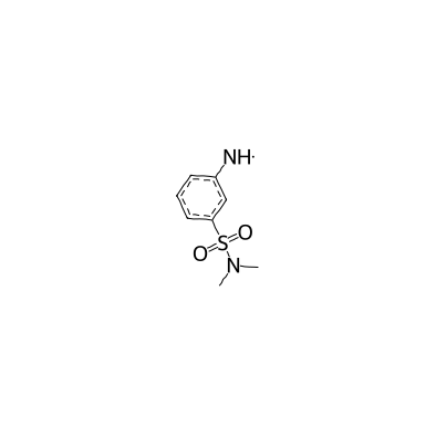 CN(C)S(=O)(=O)c1cccc([NH])c1